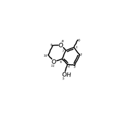 Cc1ccc(O)c2c1OCCO2